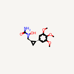 COc1cc([C@@H]2C[C@H]2CN(O)C(N)=O)cc(OC)c1OC